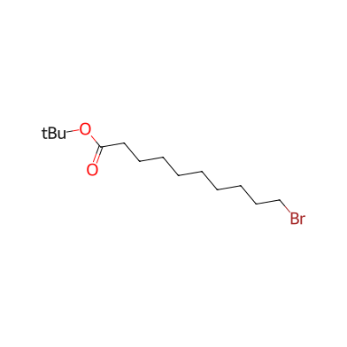 CC(C)(C)OC(=O)CCCCCCCCCBr